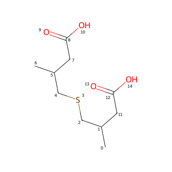 CC(CSCC(C)CC(=O)O)CC(=O)O